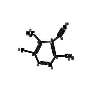 Cc1ncc(F)c(C)c1C#N